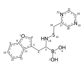 OB(O)C(Cc1coc2ccccc12)NSCc1cnccn1